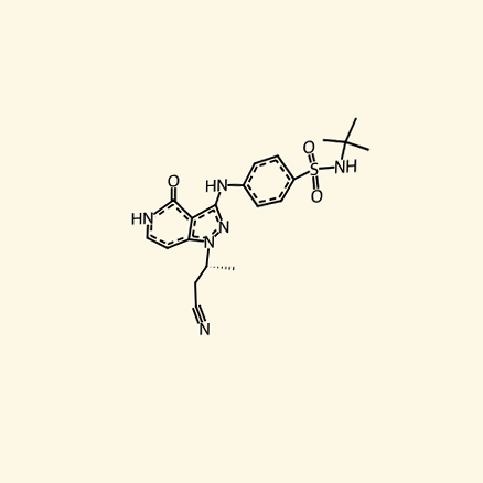 C[C@H](CC#N)n1nc(Nc2ccc(S(=O)(=O)NC(C)(C)C)cc2)c2c(=O)[nH]ccc21